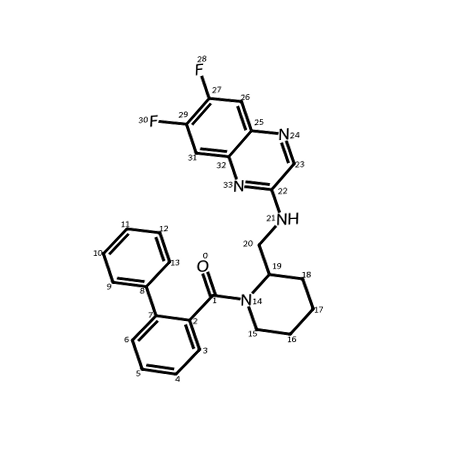 O=C(c1ccccc1-c1ccccc1)N1CCCCC1CNc1cnc2cc(F)c(F)cc2n1